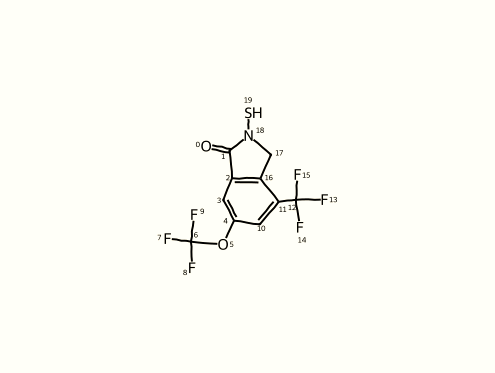 O=C1c2cc(OC(F)(F)F)cc(C(F)(F)F)c2CN1S